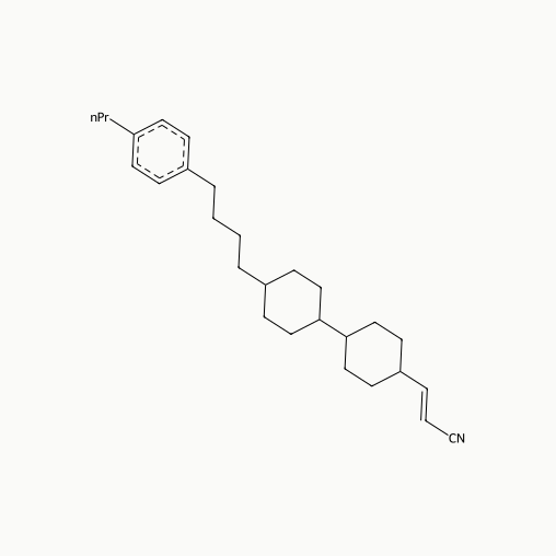 CCCc1ccc(CCCCC2CCC(C3CCC(C=CC#N)CC3)CC2)cc1